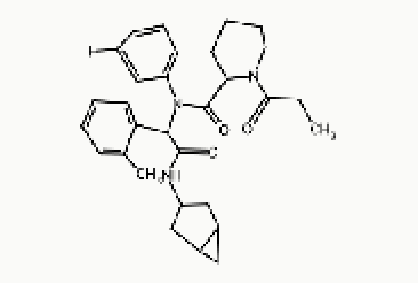 CCC(=O)N1CCCCC1C(=O)N(c1cccc(F)c1)C(C(=O)NC1CC2CC2C1)c1ccccc1C